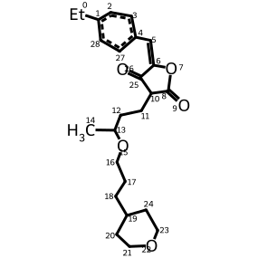 CCc1ccc(/C=C2/OC(=O)C(CCC(C)OCCCC3CCOCC3)C2=O)cc1